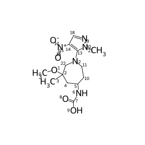 COC1(C)CC(NC(=O)O)CCN(c2c([N+](=O)[O-])cnn2C)C1